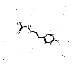 NC(=O)NSCCc1ccc(O)cc1